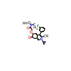 CON(C)C(=O)COC1C=C2C(=CN(C3CC3)C(C#N)=C2c2cccc(F)c2)CC1=O